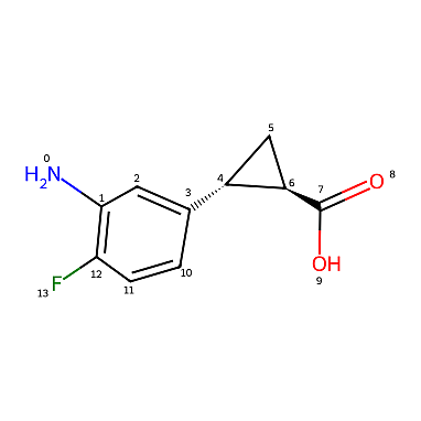 Nc1cc([C@@H]2C[C@H]2C(=O)O)ccc1F